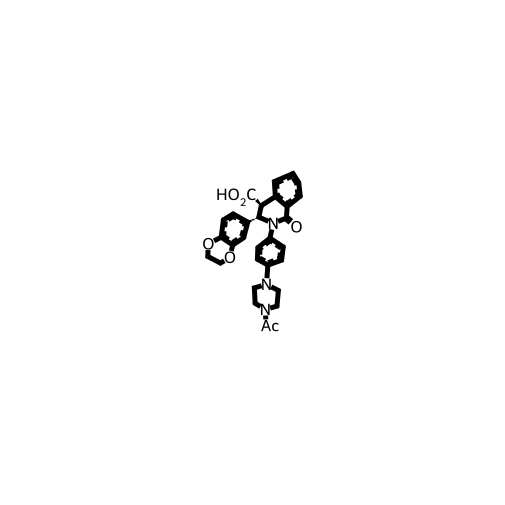 CC(=O)N1CCN(c2ccc(N3C(=O)c4ccccc4[C@H](C(=O)O)[C@H]3c3ccc4c(c3)OCCO4)cc2)CC1